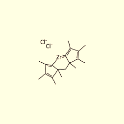 CC1=C(C)C2(C)CC3(C)C(C)=C(C)C(C)=[C]3[Zr+2][C]2=C1C.[Cl-].[Cl-]